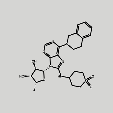 C[C@H]1O[C@@H](n2c(NC3CCS(=O)(=O)CC3)nc3c(N4CCc5ccccc5C4)ncnc32)[C@H](O)[C@@H]1O